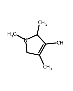 CC1=C(C)C(C)N(C)C1